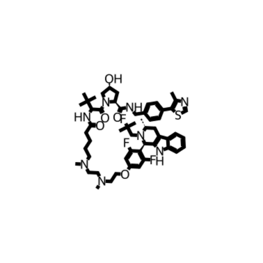 Cc1ncsc1-c1ccc(CNC(=O)[C@@H]2C[C@@H](O)CN2C(=O)C(NC(=O)CCCCN(C)CCN(C)CCOc2cc(F)c([C@@H]3c4[nH]c5ccccc5c4C[C@@H](C)N3CC(C)(C)F)c(F)c2)C(C)(C)C)cc1